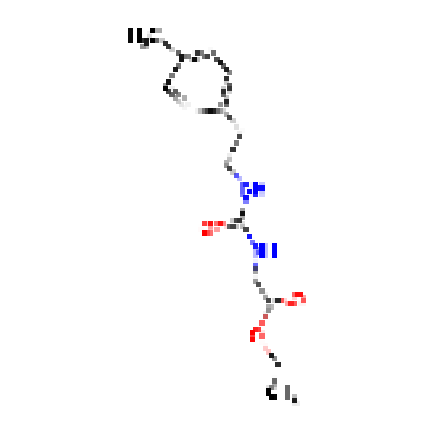 CCOC(=O)CNC(=O)NCCc1ccc(C)cc1